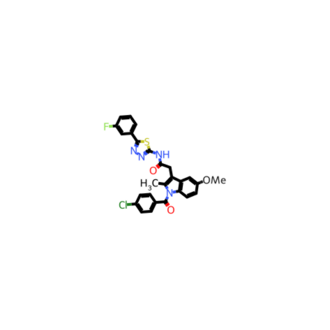 COc1ccc2c(c1)c(CC(=O)Nc1nnc(-c3cccc(F)c3)s1)c(C)n2C(=O)c1ccc(Cl)cc1